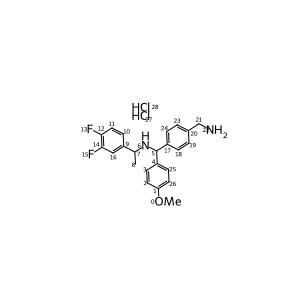 COc1ccc(C(NC(C)c2ccc(F)c(F)c2)c2ccc(CN)cc2)cc1.Cl.Cl